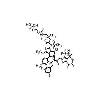 Cc1ccc(-c2ccc(Cl)c3c(N(C(=O)CC(C)(C)CNC(=O)OCOP(=O)(O)O)S(C)(=O)=O)nn(CC(F)(F)F)c23)c([C@H](Cc2cc(F)cc(F)c2)NC(=O)Cn2nc(C(F)C(F)F)c3c2C(F)(F)[C@@H]2C[C@H]32)n1